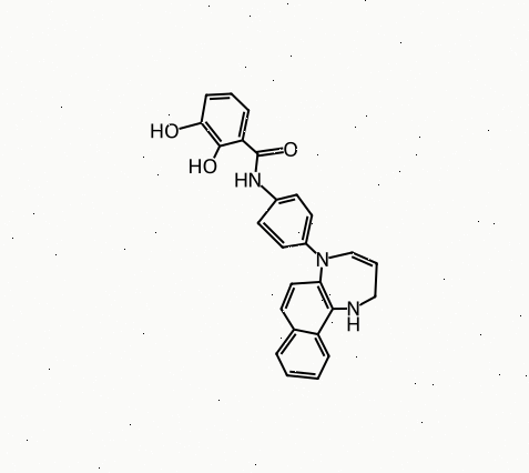 O=C(Nc1ccc(N2C=CCNc3c2ccc2ccccc32)cc1)c1cccc(O)c1O